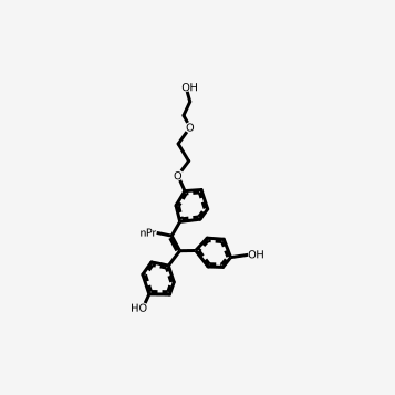 CCCC(=C(c1ccc(O)cc1)c1ccc(O)cc1)c1cccc(OCCOCCO)c1